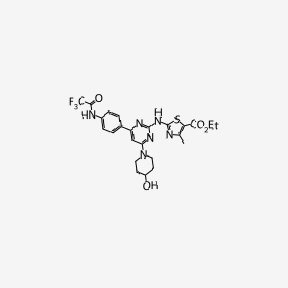 CCOC(=O)c1sc(Nc2nc(-c3ccc(NC(=O)C(F)(F)F)cc3)cc(N3CCC(O)CC3)n2)nc1C